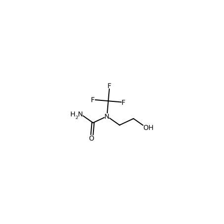 NC(=O)N(CCO)C(F)(F)F